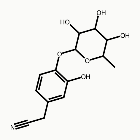 CC1OC(Oc2ccc(CC#N)cc2O)C(O)C(O)C1O